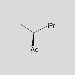 CC(=O)[C@@H](C)C(C)C